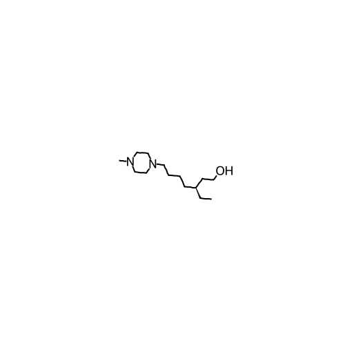 CC[C@H](CCO)CCCCN1CCN(C)CC1